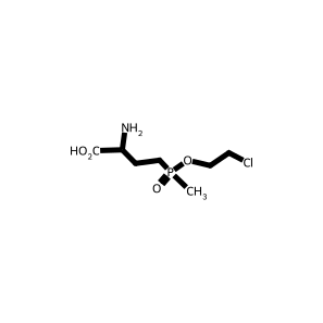 CP(=O)(CCC(N)C(=O)O)OCCCl